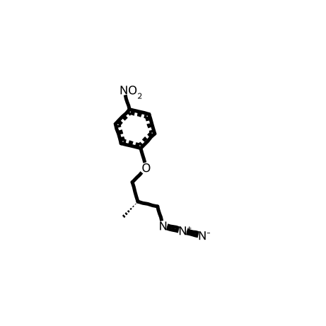 C[C@@H](CN=[N+]=[N-])COc1ccc([N+](=O)[O-])cc1